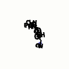 CC(C)Oc1c(Cl)cnc2cc(Cn3cccc(NC(=O)CCC/C=C/C(=O)N(C)C)c3=O)[nH]c12